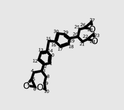 c1cc(C(CC2CO2)CC2CO2)ccc1Cc1ccc(C(CC2CO2)CC2CO2)cc1